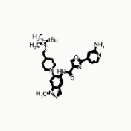 Cn1ncc2cc(NC(=O)c3coc(-c4ccnc(N)c4)n3)c(N3CCC(CO[Si](C)(C)C(C)(C)C)CC3)cc21